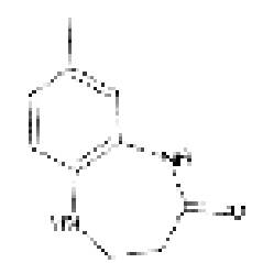 Cc1ccc2c(c1)NC(=O)CCN2